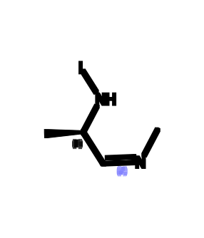 C/N=C\[C@@H](C)NI